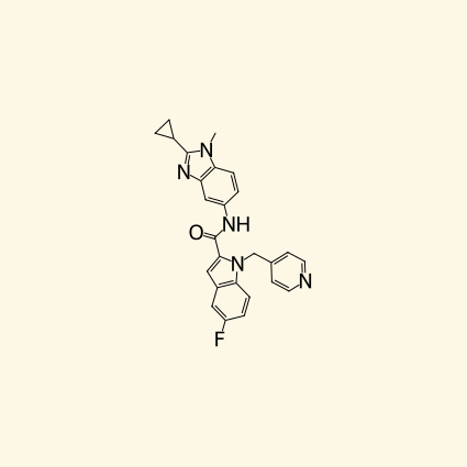 Cn1c(C2CC2)nc2cc(NC(=O)c3cc4cc(F)ccc4n3Cc3ccncc3)ccc21